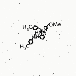 COCC1CN(C(=O)[C@H](Cc2ccc(C)cc2)Nc2ccccc2NCCc2ccc(C)cc2)C1